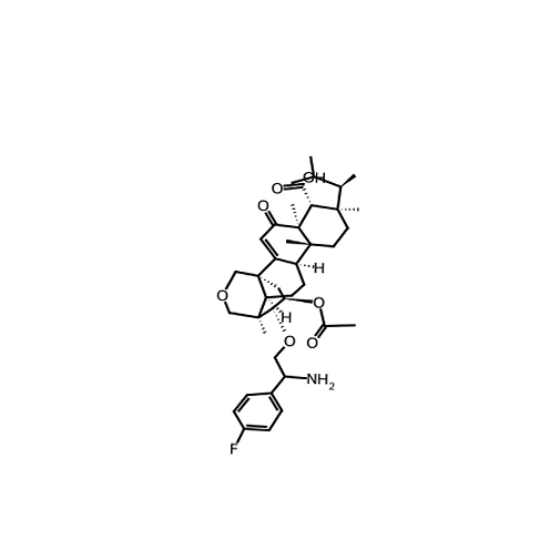 CC(=O)O[C@@H]1C[C@@]23COC[C@@](C)([C@@H]2CC[C@H]2C3=CC(=O)[C@@]3(C)[C@H](C(=O)O)[C@@](C)([C@H](C)C(C)C)CC[C@]23C)[C@H]1OCC(N)c1ccc(F)cc1